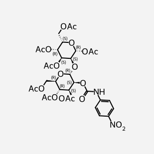 CC(=O)OC[C@@H]1O[C@H](OC(C)=O)[C@@H](O[C@H]2O[C@H](COC(C)=O)[C@@H](OC(C)=O)[C@H](OC(C)=O)[C@@H]2OC(=O)Nc2ccc([N+](=O)[O-])cc2)[C@@H](OC(C)=O)[C@@H]1OC(C)=O